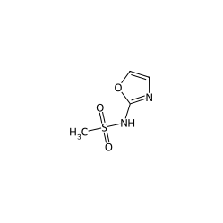 CS(=O)(=O)Nc1ncco1